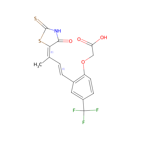 CC(/C=C/c1cc(C(F)(F)F)ccc1OCC(=O)O)=C1\SC(=S)NC1=O